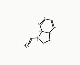 C=CN1CCC2C=CC=CC21